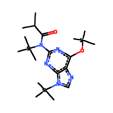 CC(C)C(=O)N(c1nc(O[Si](C)(C)C)c2ncn([Si](C)(C)C)c2n1)[Si](C)(C)C